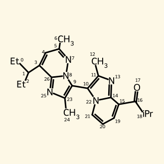 CCC(CC)c1cc(C)nn2c(-c3c(C)nc4c(C(=O)C(C)C)cccn34)c(C)nc12